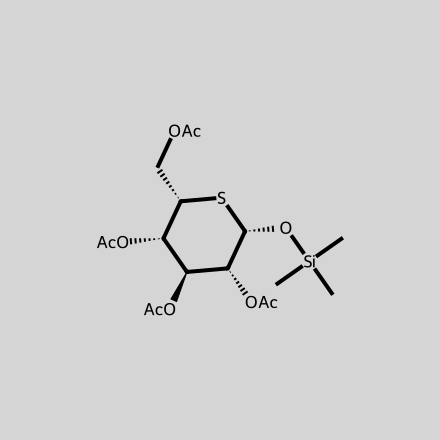 CC(=O)OC[C@@H]1S[C@H](O[Si](C)(C)C)[C@H](OC(C)=O)[C@@H](OC(C)=O)[C@@H]1OC(C)=O